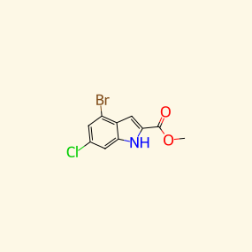 COC(=O)c1cc2c(Br)cc(Cl)cc2[nH]1